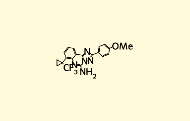 COc1ccc(-c2nc3c4cccc(C5(C(F)(F)F)CC5)c4nc(N)n3n2)cc1